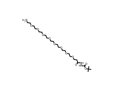 CC(C)(C)OC(=O)NNC(=O)CCOCCOCCOCCOCCOCCOCCOCCOCCN